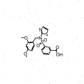 COc1ccc(CN(c2nccs2)S(=O)(=O)c2cccc(C(=O)O)c2)c(OC)c1